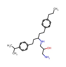 CCCc1ccc(CCC(CCc2ccc(C(C)C)cc2)NCC(O)CN)cc1